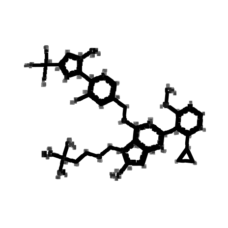 COc1ncnc(C2CC2)c1-c1nc(OCc2cnc(-c3nc(C(F)(F)F)cn3C)c(F)c2)c2c(cc(C)n2COCC[Si](C)(C)C)n1